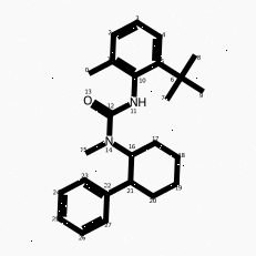 Cc1cccc(C(C)(C)C)c1NC(=O)N(C)C1CCCCC1c1ccccc1